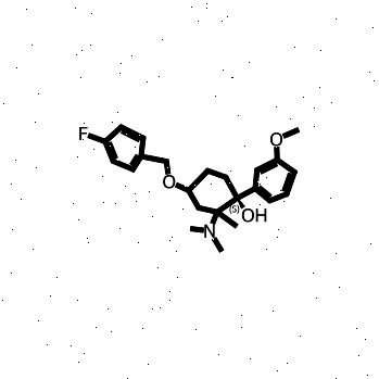 COc1cccc([C@@]2(O)CCC(OCc3ccc(F)cc3)CC2(C)N(C)C)c1